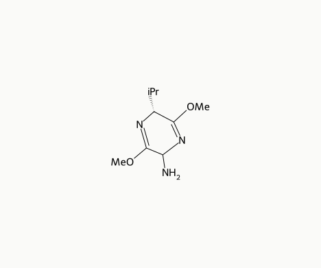 COC1=N[C@H](C(C)C)C(OC)=NC1N